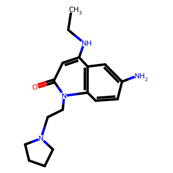 CCNc1cc(=O)n(CCN2CCCC2)c2ccc(N)cc12